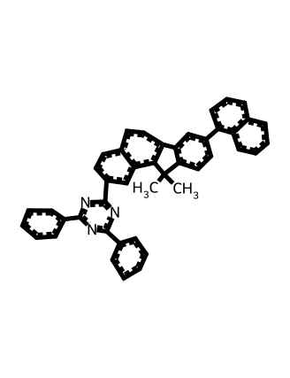 CC1(C)c2ccc(-c3cccc4ccccc34)cc2-c2ccc3ccc(-c4nc(-c5ccccc5)nc(-c5ccccc5)n4)cc3c21